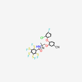 CC(C#N)(COc1cc(C#N)ccc1Oc1ccc(F)cc1Cl)NC(=O)c1c(SF)c(SF)c(SF)c(SF)c1SF